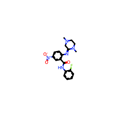 CN1CCN(C)/C(=N/c2ccc([N+](=O)[O-])cc2C(=O)Nc2ccccc2F)C1